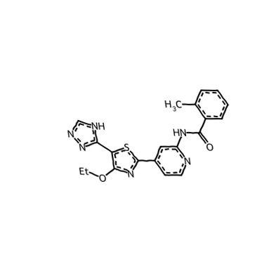 CCOc1nc(-c2ccnc(NC(=O)c3ccccc3C)c2)sc1-c1nnc[nH]1